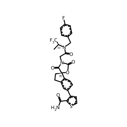 C[C@H](N(Cc1ccc(F)cc1)C(=O)CN1C(=O)O[C@@]2(CCc3cc(-c4ccsc4C(N)=O)ccc32)C1=O)C(F)(F)F